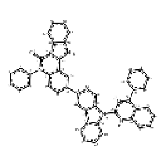 O=c1n(-c2ccccc2)c2ccc(-c3ccc4c(c3)c3ccccc3n4-c3nc(-c4ccccc4)c4ccccc4n3)cc2c2nc3ccccc3n12